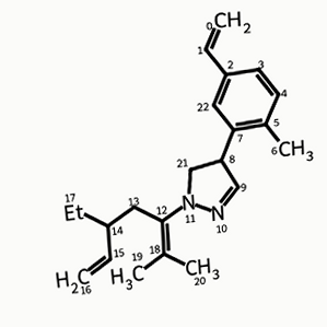 C=Cc1ccc(C)c(C2C=NN(C(CC(C=C)CC)=C(C)C)C2)c1